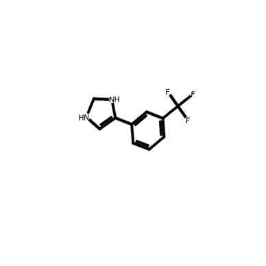 FC(F)(F)c1cccc(C2=CNCN2)c1